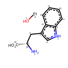 CCO.N[C@@H](Cc1c[nH]c2ccccc12)C(=O)O